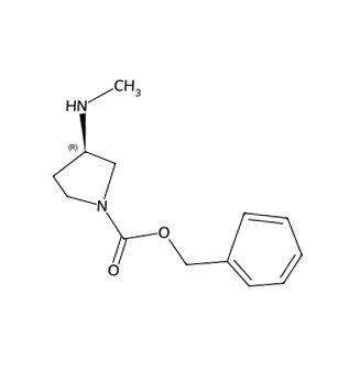 CN[C@@H]1CCN(C(=O)OCc2ccccc2)C1